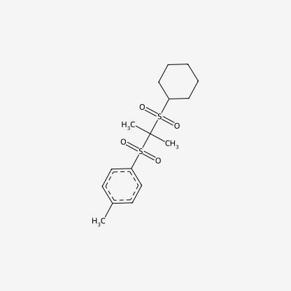 Cc1ccc(S(=O)(=O)C(C)(C)S(=O)(=O)C2CCCCC2)cc1